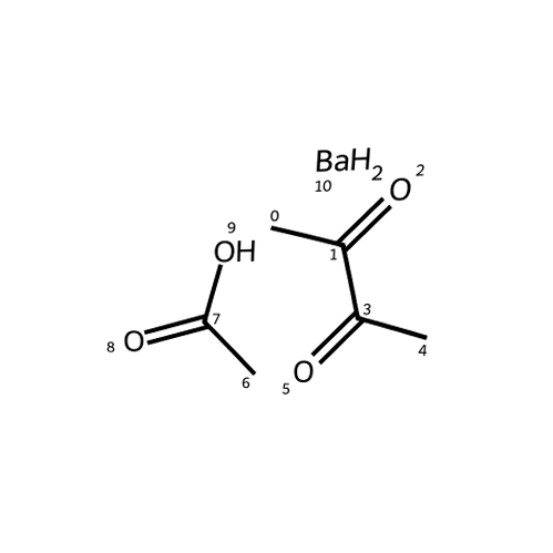 CC(=O)C(C)=O.CC(=O)O.[BaH2]